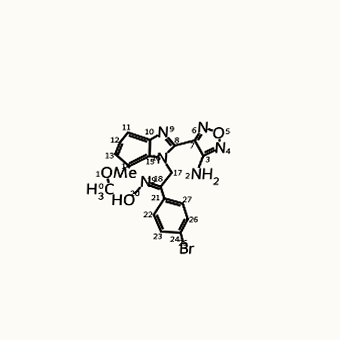 COC.Nc1nonc1-c1nc2ccccc2n1CC(=NO)c1ccc(Br)cc1